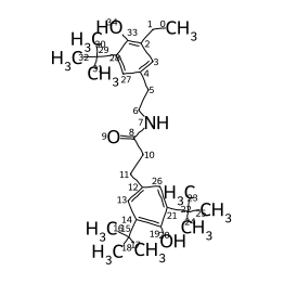 CCc1cc(CCNC(=O)CCc2cc(C(C)(C)C)c(O)c(C(C)(C)C)c2)cc(C(C)(C)C)c1O